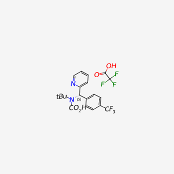 CC(C)(C)N(C(=O)O)[C@@H](c1ccc(C(F)(F)F)cc1)c1ccccn1.O=C(O)C(F)(F)F